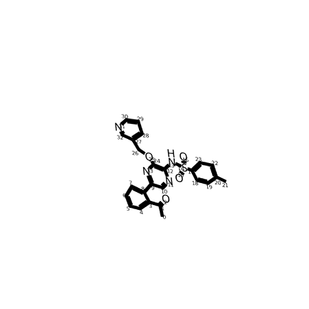 CC(=O)c1ccccc1-c1cnc(NS(=O)(=O)c2ccc(C)cc2)c(OCc2cccnc2)n1